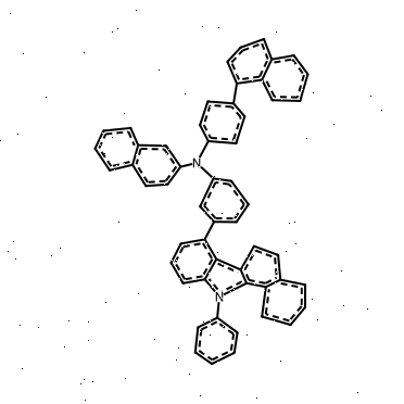 c1ccc(-n2c3cccc(-c4cccc(N(c5ccc(-c6cccc7ccccc67)cc5)c5ccc6ccccc6c5)c4)c3c3ccc4ccccc4c32)cc1